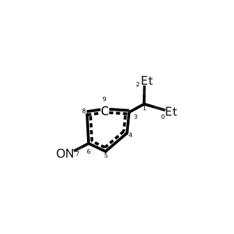 CCC(CC)c1ccc(N=O)cc1